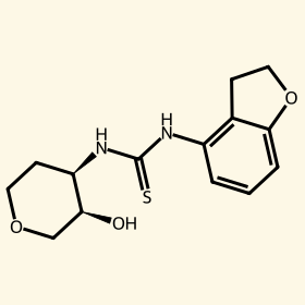 O[C@H]1COCC[C@H]1NC(=S)Nc1cccc2c1CCO2